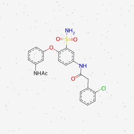 CC(=O)Nc1cccc(Oc2ccc(NC(=O)Cc3ccccc3Cl)cc2S(N)(=O)=O)c1